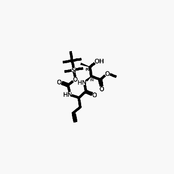 C=CCC(NC(=O)O[Si](C)(C)C(C)(C)C)C(=O)N[C@H](C(=O)OC)[C@@H](C)O